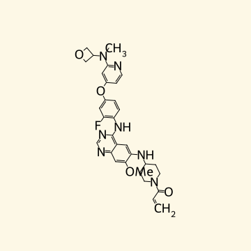 C=CC(=O)N1CCC(Nc2cc3c(Nc4ccc(Oc5ccnc(N(C)C6COC6)c5)cc4F)ncnc3cc2OC)CC1